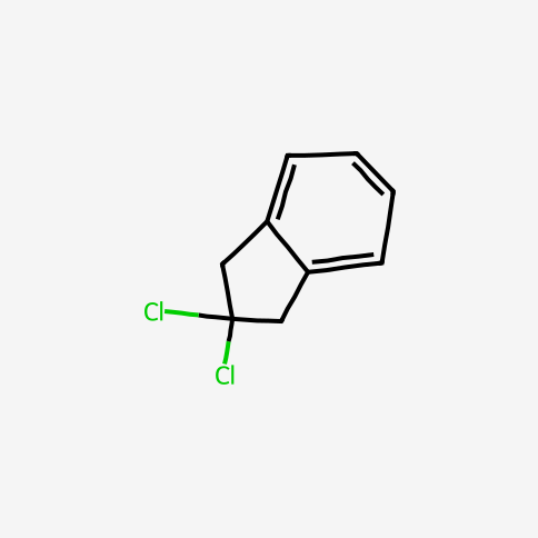 ClC1(Cl)Cc2ccccc2C1